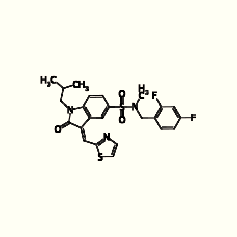 CC(C)CN1C(=O)/C(=C/c2nccs2)c2cc(S(=O)(=O)N(C)Cc3ccc(F)cc3F)ccc21